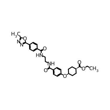 CCOC(=O)[C@H]1CC[C@@H](Oc2ccc(C(=O)NCCNC(=O)c3ccc(-c4nnc(C)o4)cc3)cc2)CC1